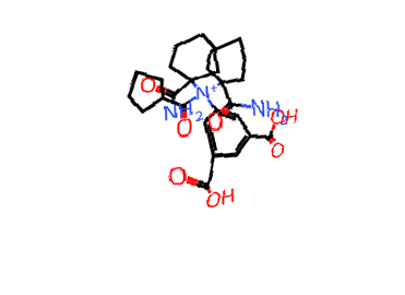 NC(=O)C1([N+](C(=O)C2CCCC2)(c2cc(C(=O)O)cc(C(=O)O)c2)C2(C(N)=O)CCCCC2)CCCCC1